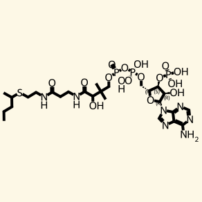 CCCC(C)SCCNC(=O)CCNC(=O)C(O)C(C)(C)COP(=O)(O)OP(=O)(O)OC[C@H]1O[C@@H](n2cnc3c(N)ncnc32)[C@H](O)[C@@H]1OP(=O)(O)O